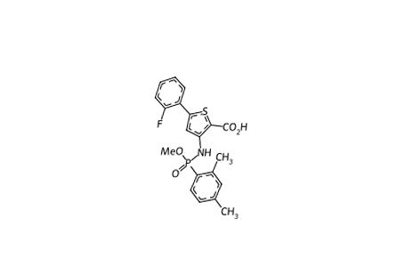 COP(=O)(Nc1cc(-c2ccccc2F)sc1C(=O)O)c1ccc(C)cc1C